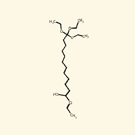 CCOC(O)CCCCCCCCCCC(OCC)(OCC)OCC